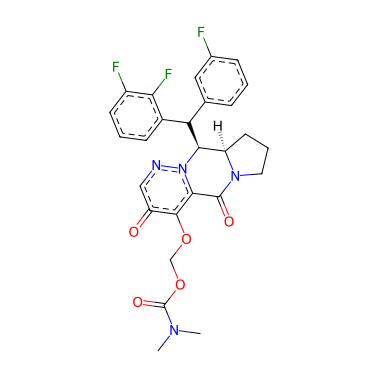 CN(C)C(=O)OCOc1c2n(ncc1=O)[C@@H](C(c1cccc(F)c1)c1cccc(F)c1F)[C@H]1CCCN1C2=O